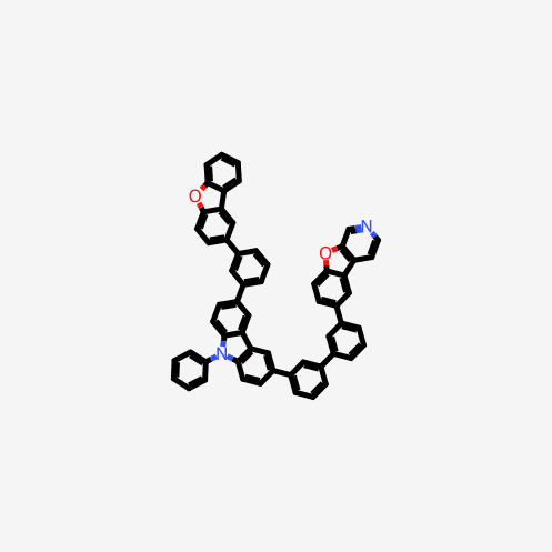 c1ccc(-n2c3ccc(-c4cccc(-c5cccc(-c6ccc7oc8cnccc8c7c6)c5)c4)cc3c3cc(-c4cccc(-c5ccc6oc7ccccc7c6c5)c4)ccc32)cc1